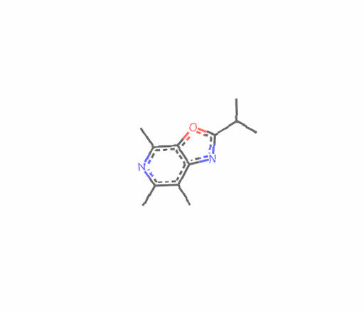 Cc1nc(C)c2oc(C(C)C)nc2c1C